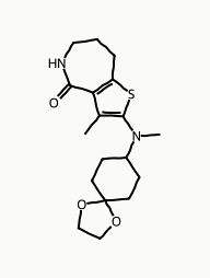 Cc1c(N(C)C2CCC3(CC2)OCCO3)sc2c1C(=O)NCCC2